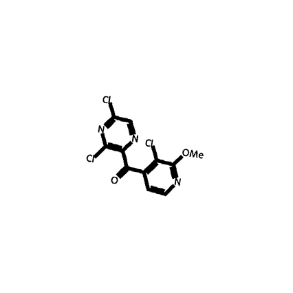 COc1nccc(C(=O)c2ncc(Cl)nc2Cl)c1Cl